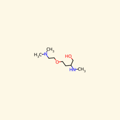 CNC(CO)CCOCCN(C)C